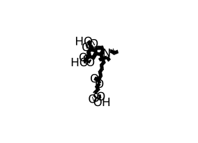 CCC[N+]1=C(C)C(C)(CCCCCC(=O)OCCCS(=O)(=O)O)c2c1ccc1c(S(=O)(=O)O)cc(S(=O)(=O)O)cc21